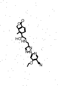 CCOc1cc(-n2ncc(CNC[C@H](O)c3ccc4c(c3C)COC4=O)n2)ncc1C#N